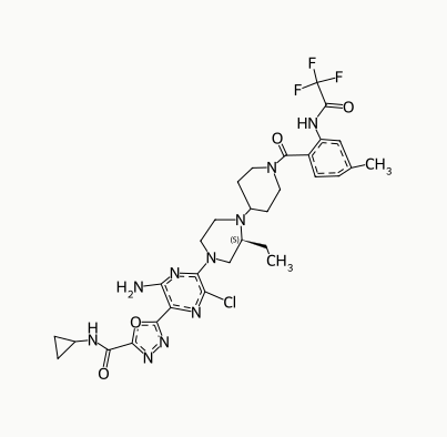 CC[C@H]1CN(c2nc(N)c(-c3nnc(C(=O)NC4CC4)o3)nc2Cl)CCN1C1CCN(C(=O)c2ccc(C)cc2NC(=O)C(F)(F)F)CC1